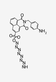 N=NN=NN=NN=NOS(=O)(=O)c1cc2c3c(cccc3c1)C(=O)N(Cc1ccc(N)cc1)C2=O